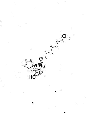 CCCCCCCCOC(=O)C1C(C(=O)O)C2C=CC1C2(C)C